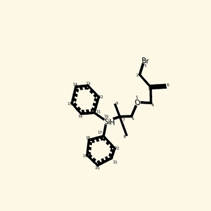 C=C(CBr)COCC(C)(C)[SiH](c1ccccc1)c1ccccc1